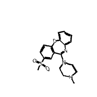 CN1CCN(C2=Nc3ccccc3Oc3ccc(S(C)(=O)=O)cc32)CC1